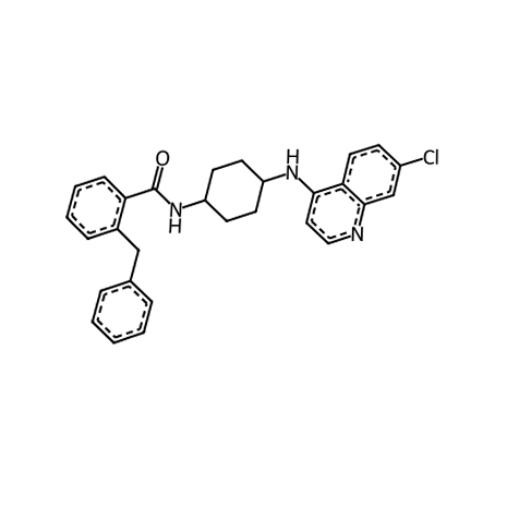 O=C(NC1CCC(Nc2ccnc3cc(Cl)ccc23)CC1)c1ccccc1Cc1ccccc1